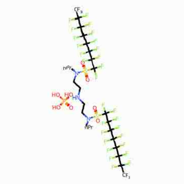 CCCN(CCNCCN(CCC)S(=O)(=O)C(F)(F)C(F)(F)C(F)(F)C(F)(F)C(F)(F)C(F)(F)C(F)(F)C(F)(F)F)S(=O)(=O)C(F)(F)C(F)(F)C(F)(F)C(F)(F)C(F)(F)C(F)(F)C(F)(F)C(F)(F)F.O=P(O)(O)O